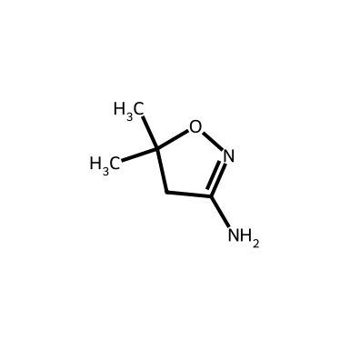 CC1(C)CC(N)=NO1